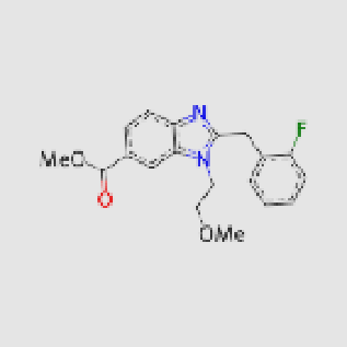 COCCn1c(Cc2ccccc2F)nc2ccc(C(=O)OC)cc21